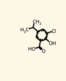 CC(C)c1cc(Cl)c(O)c(C(=O)O)c1